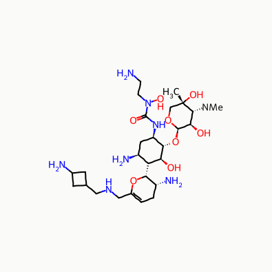 CN[C@@H]1[C@@H](O)[C@@H](O[C@H]2[C@H](NC(=O)N(O)CCN)C[C@H](N)C([C@H]3OC(CNCC4CC(N)C4)=CC[C@H]3N)[C@@H]2O)OC[C@]1(C)O